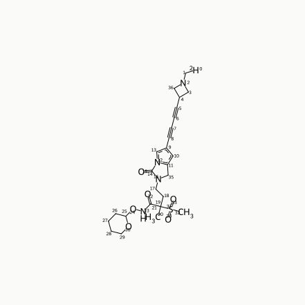 [2H]CN1CC(C#CC#Cc2cc3n(c2)C(=O)N(CCC(C)(C(=O)NOC2CCCCO2)S(C)(=O)=O)C3)C1